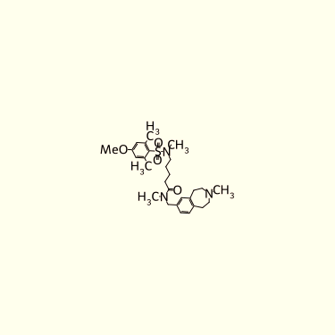 COc1cc(C)c(S(=O)(=O)N(C)CCCCC(=O)N(C)Cc2ccc3c(c2)CCN(C)CC3)c(C)c1